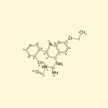 CCOc1ccc2c(NC(=N)NC=O)cc(-c3ccccc3C)nc2c1